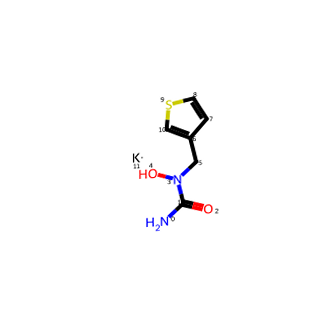 NC(=O)N(O)Cc1ccsc1.[K]